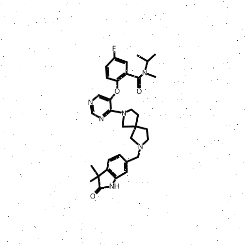 CC(C)N(C)C(=O)c1cc(F)ccc1Oc1cncnc1N1CCC2(CCN(Cc3ccc4c(c3)NC(=O)C4(C)C)C2)C1